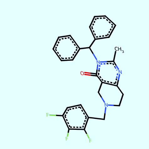 Cc1nc2c(c(=O)n1C(c1ccccc1)c1ccccc1)CN(Cc1ccc(F)c(F)c1F)CC2